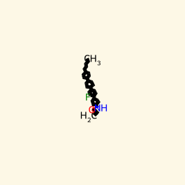 C=CC(=O)NC1CCC(c2ccc(C3CCC(C4CCC(CCCCC)CC4)CC3)cc2F)CC1